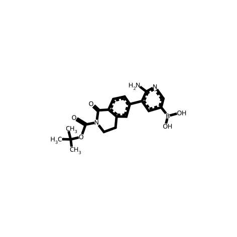 CC(C)(C)OC(=O)N1CCc2cc(-c3cc(B(O)O)cnc3N)ccc2C1=O